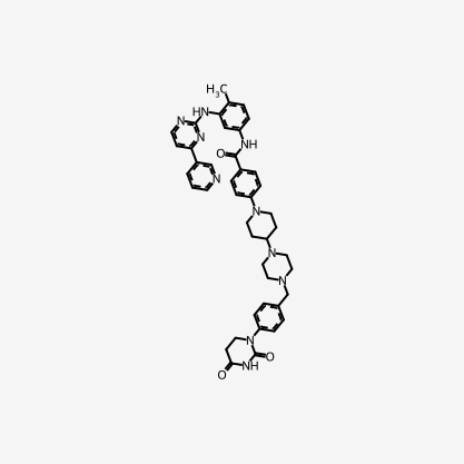 Cc1ccc(NC(=O)c2ccc(N3CCC(N4CCN(Cc5ccc(N6CCC(=O)NC6=O)cc5)CC4)CC3)cc2)cc1Nc1nccc(-c2cccnc2)n1